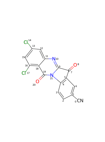 N#Cc1ccc2c(c1)C(=O)c1nc3cc(Cl)cc(Cl)c3c(=O)n1-2